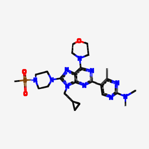 Cc1nc(N(C)C)ncc1-c1nc(N2CCOCC2)c2nc(N3CCN(S(C)(=O)=O)CC3)n(CC3CC3)c2n1